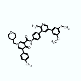 COc1cc(OC)cc(-c2cnc(N)c(-c3ccc(NC(=O)c4cn(CC5CCOCC5)cc(-c5ccc(C)cc5)c4=O)cc3)c2)c1